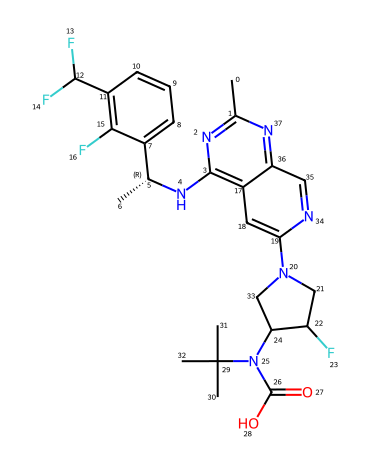 Cc1nc(N[C@H](C)c2cccc(C(F)F)c2F)c2cc(N3CC(F)C(N(C(=O)O)C(C)(C)C)C3)ncc2n1